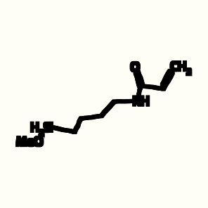 C=CC(=O)NCCCC[SiH2]OC